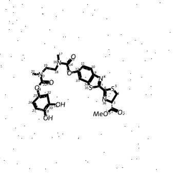 COC(=O)[C@H]1CSC(c2nc3ccc(OC(=O)N(C)CCN(C)C(=O)Oc4ccc(O)c(O)c4)cc3s2)=N1